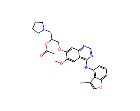 COc1cc2c(Nc3cccc4occ(Cl)c34)ncnc2cc1OCC(CN1CCCC1)OC(C)=O